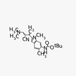 C=C(/C(C#N)=C/N(C)C)c1cc2cc(C)c(NC(=O)OC(C)(C)C)cc2n1C